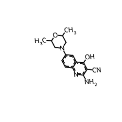 CC1CN(c2ccc3nc(N)c(C#N)c(O)c3c2)CC(C)O1